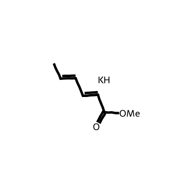 CC=CC=CC(=O)OC.[KH]